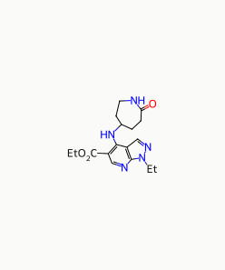 CCOC(=O)c1cnc2c(cnn2CC)c1NC1CCNC(=O)CC1